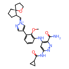 COc1c(Nc2cc(NC(=O)C3CC3)nnc2C(N)=O)cccc1C1=C/[N+](=C/C2CCC[C@]23CCCO3)N=C1